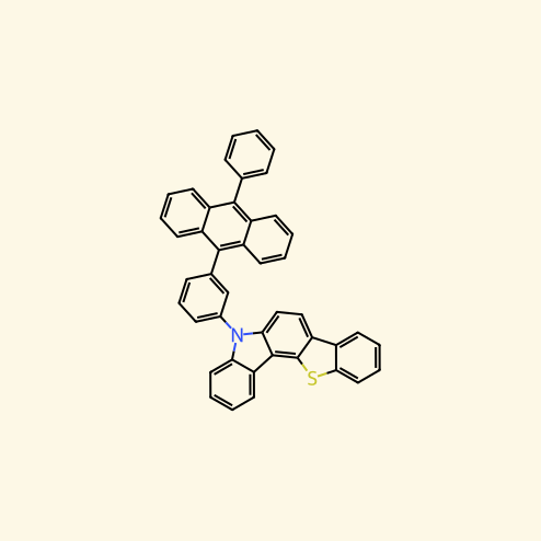 c1ccc(-c2c3ccccc3c(-c3cccc(-n4c5ccccc5c5c6sc7ccccc7c6ccc54)c3)c3ccccc23)cc1